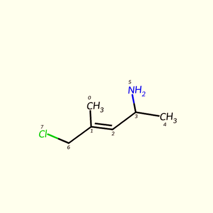 C/C(=C\C(C)N)CCl